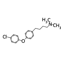 CN(C)CCCCc1ccc(Oc2ccc(Cl)cc2)cc1